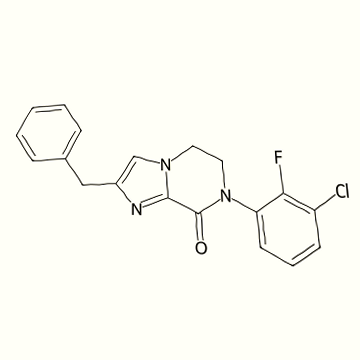 O=C1c2nc(Cc3ccccc3)cn2CCN1c1cccc(Cl)c1F